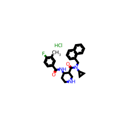 Cc1cc(C(=O)NC2CCNCC2C(=O)N(Cc2cccc3ccccc23)C2CC2)ccc1F.Cl